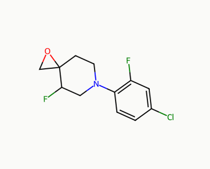 Fc1cc(Cl)ccc1N1CCC2(CO2)C(F)C1